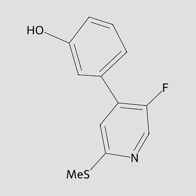 CSc1cc(-c2cccc(O)c2)c(F)cn1